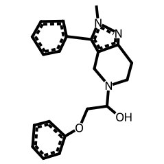 Cn1nc2c(c1-c1ccccc1)CN(C(O)COc1ccccc1)CC2